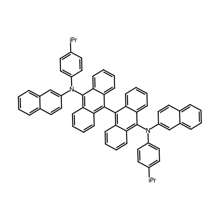 CC(C)c1ccc(N(c2ccc3ccccc3c2)c2c3ccccc3c(-c3c4ccccc4c(N(c4ccc(C(C)C)cc4)c4ccc5ccccc5c4)c4ccccc34)c3ccccc23)cc1